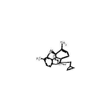 CC1=CC=C2[C@@H]3Cc4ccc(C)c5c4[C@]2(CCN3CC2CC2)[C@@H]1O5